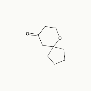 O=C1CCOC2(CCCC2)C1